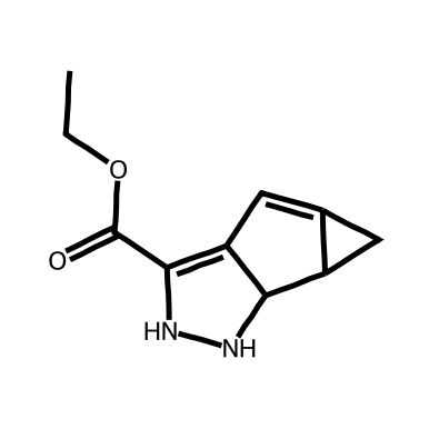 CCOC(=O)C1=C2C=C3CC3C2NN1